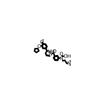 COc1ccc(C2CC=CN(C(=O)c3cccc(N(CCCN(C)C)C(=O)O)c3)N2)cc1OC1CCCC1